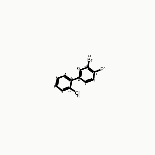 Fc1ccc(-c2c[c]ccc2Cl)cc1Br